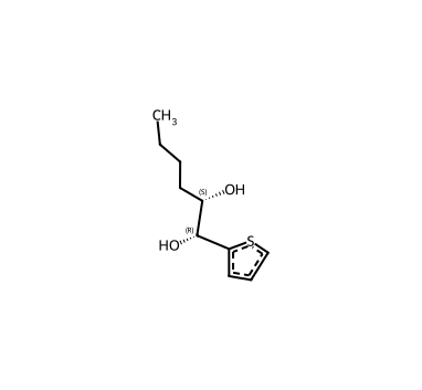 CCCC[C@H](O)[C@@H](O)c1cccs1